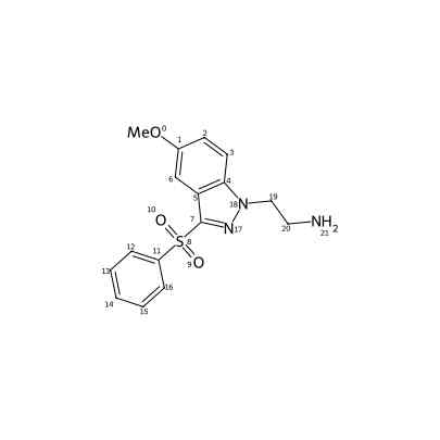 COc1ccc2c(c1)c(S(=O)(=O)c1ccccc1)nn2CCN